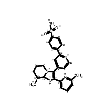 Cc1cccc(C2=C(c3ccnc(-c4ccc(S(N)(=O)=O)cc4)c3)N3CCC[C@H](C)C3N2)n1